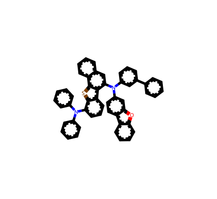 c1ccc(-c2cccc(N(c3ccc4c(c3)oc3ccccc34)c3cc4ccccc4c4sc5c(N(c6ccccc6)c6ccccc6)cccc5c34)c2)cc1